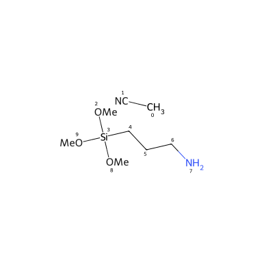 CC#N.CO[Si](CCCN)(OC)OC